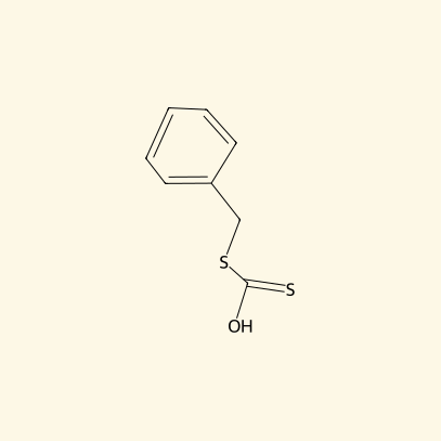 OC(=S)SCc1ccccc1